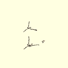 [CH3][Sn+]([CH3])[CH3].[CH3][Sn+]([CH3])[CH3].[S-2]